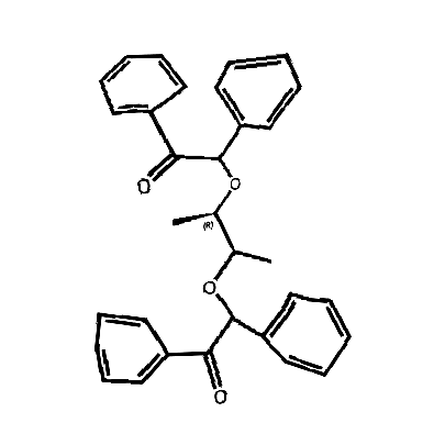 CC(OC(C(=O)c1ccccc1)c1ccccc1)[C@@H](C)OC(C(=O)c1ccccc1)c1ccccc1